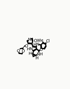 COc1c(Cl)cccc1Nc1c(-c2ccncc2OC[C@@H]2COCCO2)[nH]c2c1C(=O)N[C@H]1C[C@@H]21